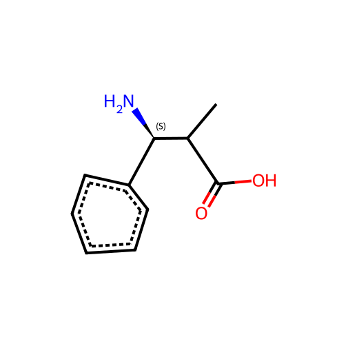 CC(C(=O)O)[C@H](N)c1ccccc1